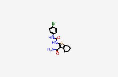 NC(=O)c1c(NC(=O)Nc2ccc(Br)cc2)sc2c1CCCC2